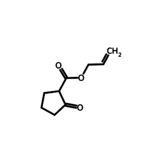 C=CCOC(=O)C1CCCC1=O